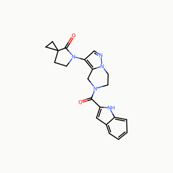 O=C(c1cc2ccccc2[nH]1)N1CCn2ncc(N3CCC4(CC4)C3=O)c2C1